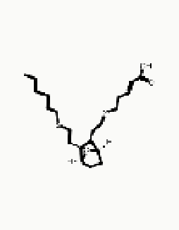 CCCCCCSCC[C@H]1[C@@H](CCSCC/C=C/C(=O)O)[C@H]2CC[C@@H]1O2